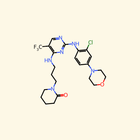 O=C1CCCCN1CCCNc1nc(Nc2ccc(N3CCOCC3)cc2Cl)ncc1C(F)(F)F